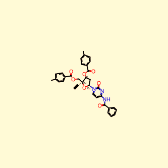 C#C[C@@]1(COC(=O)c2ccc(C)cc2)O[C@H](n2ccc(NC(=O)c3ccccc3)nc2=O)C[C@H]1OC(=O)c1ccc(C)cc1